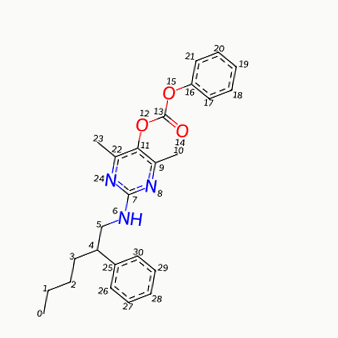 CCCCC(CNc1nc(C)c(OC(=O)Oc2ccccc2)c(C)n1)c1ccccc1